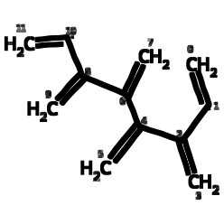 C=[C]C(=C)C(=C)C(=C)C(=C)[C]=C